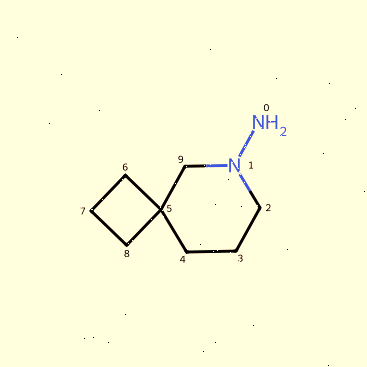 NN1CCCC2(CCC2)C1